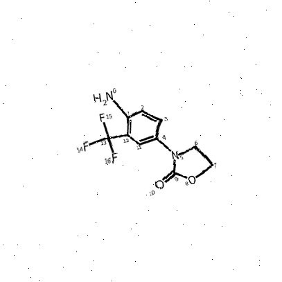 Nc1ccc(N2CCOC2=O)cc1C(F)(F)F